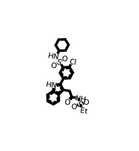 CCS(=O)(=O)NC(=O)Cc1c(-c2ccc(Cl)c(S(=O)(=O)NC3CCCCC3)c2)[nH]c2ccccc12